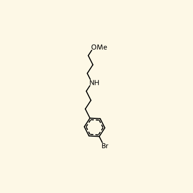 COCCCNCCCc1ccc(Br)cc1